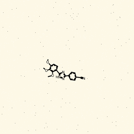 COc1ccc(-c2nc(-c3ccc(C#N)cc3)n[nH]2)c(OC)c1OC